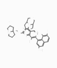 CCc1c(F)ccc2cc(O)cc(-c3ncc4c(N5C6CNC(=O)CC5COC6)nc(OC[C@@]56CCCN5C[C@H](F)C6)nc4c3F)c12